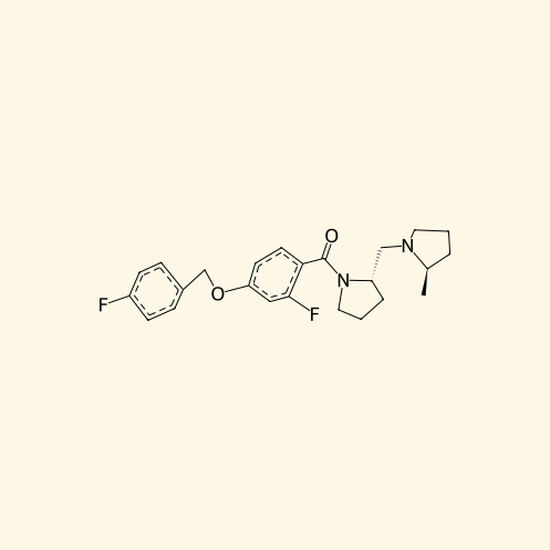 C[C@@H]1CCCN1C[C@@H]1CCCN1C(=O)c1ccc(OCc2ccc(F)cc2)cc1F